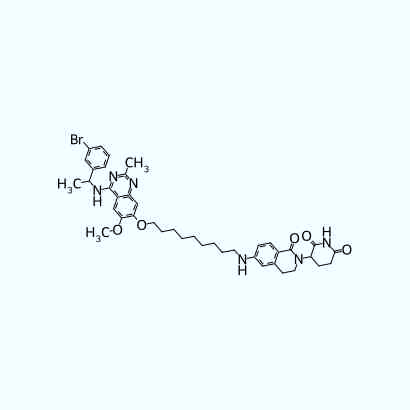 COc1cc2c(NC(C)c3cccc(Br)c3)nc(C)nc2cc1OCCCCCCCCCNc1ccc2c(c1)CCN(C1CCC(=O)NC1=O)C2=O